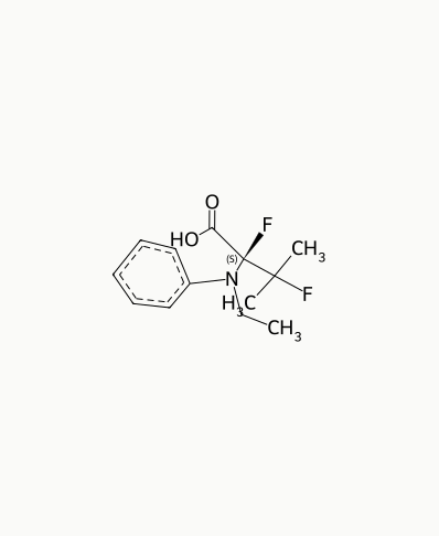 CCN(c1ccccc1)[C@](F)(C(=O)O)C(C)(C)F